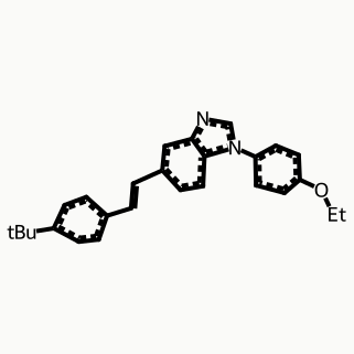 CCOc1ccc(-n2cnc3cc(/C=C/c4ccc(C(C)(C)C)cc4)ccc32)cc1